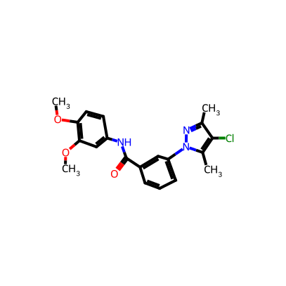 COc1ccc(NC(=O)c2cccc(-n3nc(C)c(Cl)c3C)c2)cc1OC